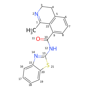 CC1=NCCc2cccc(C(=O)Nc3nc4ccccc4s3)c21